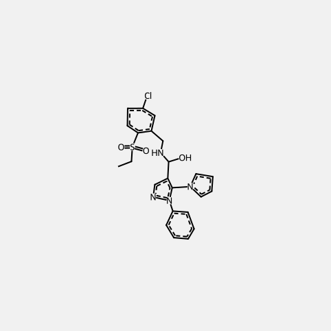 CCS(=O)(=O)c1ccc(Cl)cc1CNC(O)c1cnn(-c2ccccc2)c1-n1cccc1